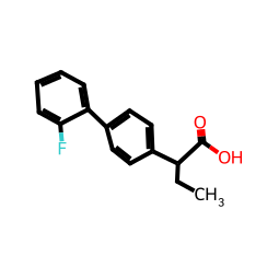 CCC(C(=O)O)c1ccc(-c2ccccc2F)cc1